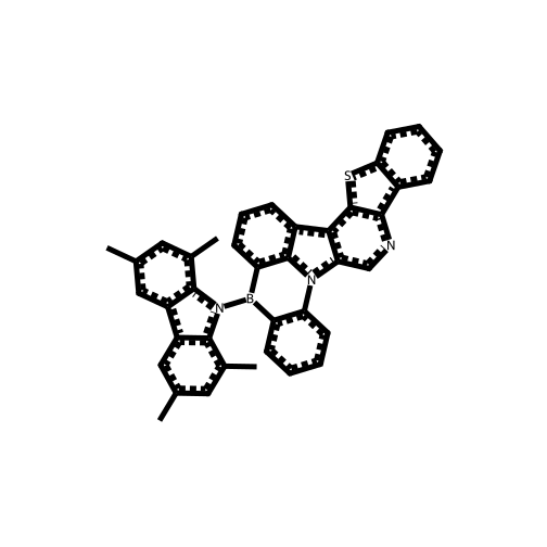 Cc1cc(C)c2c(c1)c1cc(C)cc(C)c1n2B1c2ccccc2-n2c3cnc4c5ccccc5sc4c3c3cccc1c32